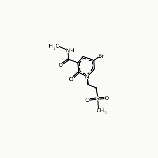 CNC(=O)c1cc(Br)cn(CCS(C)(=O)=O)c1=O